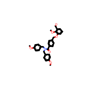 COc1ccc(CN(Cc2ccc(OC)cc2)C(=O)c2ccc(COc3cccc(C=O)c3OC)cc2)cc1